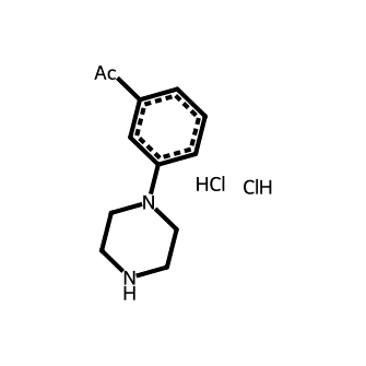 CC(=O)c1cccc(N2CCNCC2)c1.Cl.Cl